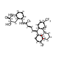 O=C(C=CC=C(c1ccc(F)cc1)c1ccc(C(F)(F)F)nc1N1CCCCC1)Nc1cccc2c1CC(O)C(=O)N2